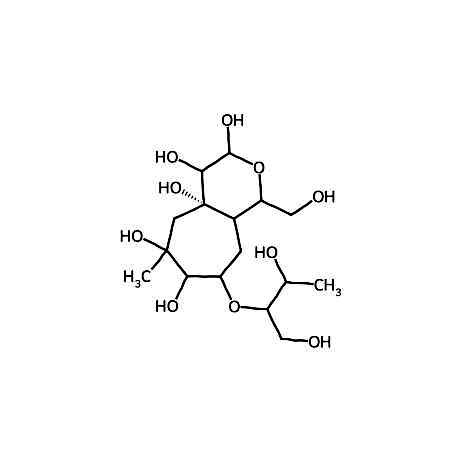 CC(O)C(CO)OC1CC2C(CO)OC(O)C(O)[C@]2(O)CC(C)(O)C1O